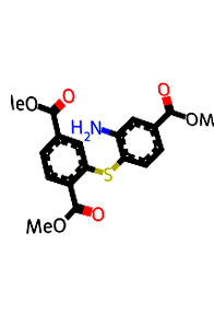 COC(=O)c1ccc(Sc2cc(C(=O)OC)ccc2C(=O)OC)c(N)c1